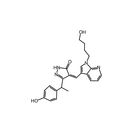 CC(C1=NNC(=O)C1=Cc1cn(CCCCO)c2ncccc12)c1ccc(O)cc1